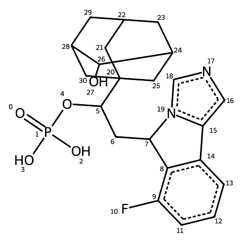 O=P(O)(O)OC(CC1c2c(F)cccc2-c2cncn21)C12CC3CC(C1)C(O)C(C3)C2